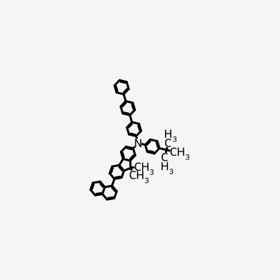 CC(C)(C)c1ccc(N(c2ccc(-c3ccc(-c4ccccc4)cc3)cc2)c2ccc3c(c2)C(C)(C)c2cc(-c4cccc5ccccc45)ccc2-3)cc1